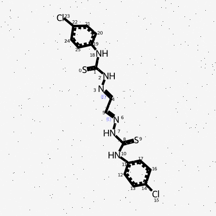 S=C(N/N=C/C=N/NC(=S)Nc1ccc(Cl)cc1)Nc1ccc(Cl)cc1